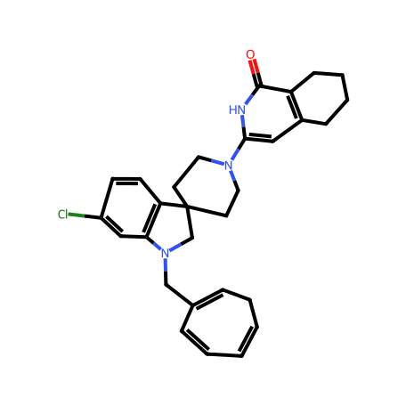 O=c1[nH]c(N2CCC3(CC2)CN(CC2=CCC=CC=C2)c2cc(Cl)ccc23)cc2c1CCCC2